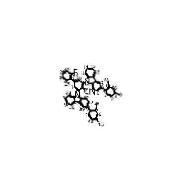 Cc1ccc(-c2ccc3c(c2)c2ccccc2n3-c2cc(-c3c(F)cccc3F)cc(-n3c4ccccc4c4cc(-c5ccc(C)cc5C)ccc43)c2C#N)c(C)c1